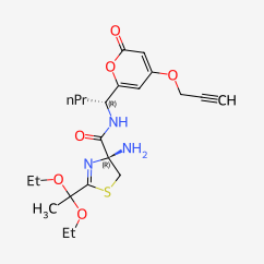 C#CCOc1cc([C@@H](CCC)NC(=O)[C@]2(N)CSC(C(C)(OCC)OCC)=N2)oc(=O)c1